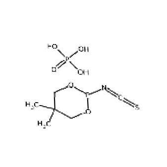 CC1(C)COP(N=C=S)OC1.O=P(O)(O)O